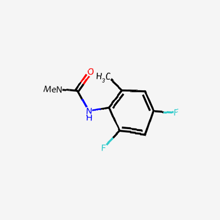 CNC(=O)Nc1c(C)cc(F)cc1F